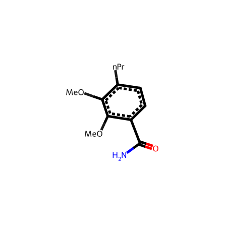 CCCc1ccc(C(N)=O)c(OC)c1OC